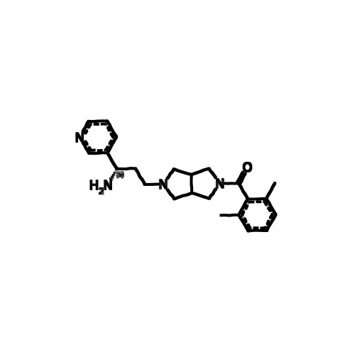 Cc1cccc(C)c1C(=O)N1CC2CN(CC[C@H](N)c3cccnc3)CC2C1